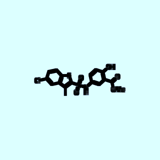 COC(=O)c1cc(NS(=O)(=O)c2sc3ccc(Cl)cc3c2C)ccc1O